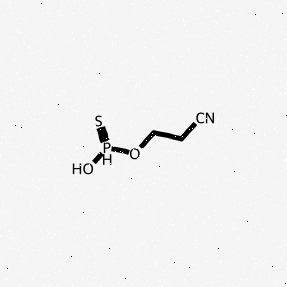 N#CCCO[PH](O)=S